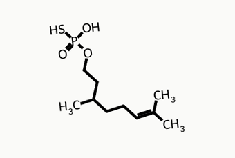 CC(C)=CCCC(C)CCOP(=O)(O)S